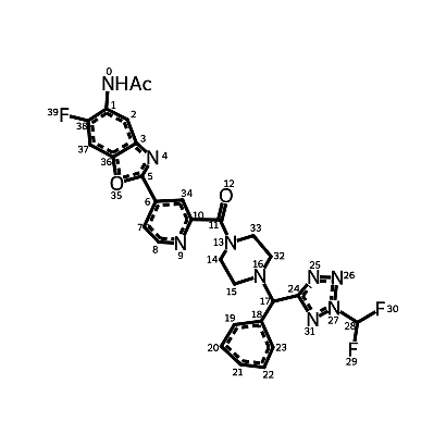 CC(=O)Nc1cc2nc(-c3ccnc(C(=O)N4CCN(C(c5ccccc5)c5nnn(C(F)F)n5)CC4)c3)oc2cc1F